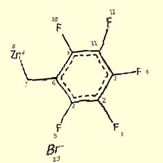 Fc1c(F)c(F)c([CH2][Zn+])c(F)c1F.[Br-]